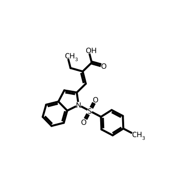 CC/C(=C\c1cc2ccccc2n1S(=O)(=O)c1ccc(C)cc1)C(=O)O